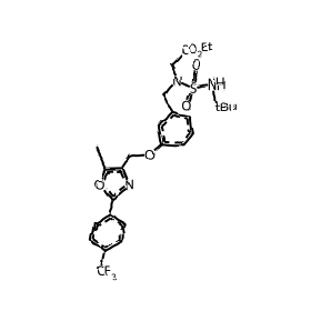 CCOC(=O)CN(Cc1cccc(OCc2nc(-c3ccc(C(F)(F)F)cc3)oc2C)c1)S(=O)(=O)NC(C)(C)C